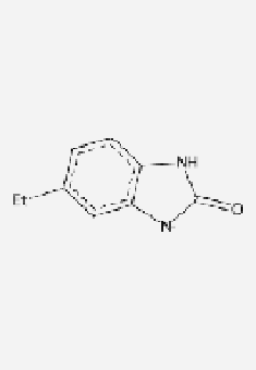 CCc1ccc2c(c1)[N]C(=O)N2